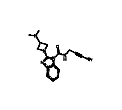 CC(C)C#CCNC(=O)n1c(N2CC(N(C)C)C2)nc2ccccc21